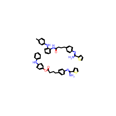 Cc1ccc(Nc2ccccc2NC(=O)CCCc2ccc(N=C(N)c3cccs3)cc2)cc1.NC(=Nc1ccc(CCCC(=O)Oc2ccc(Nc3ccccc3)cc2)cc1)c1cccs1